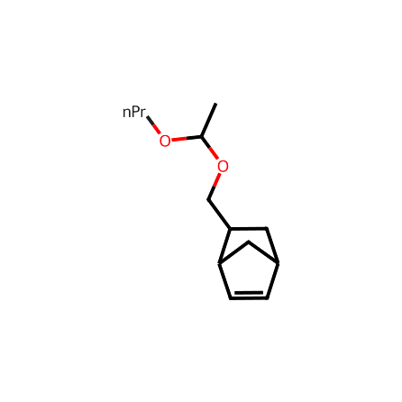 CCCOC(C)OCC1CC2C=CC1C2